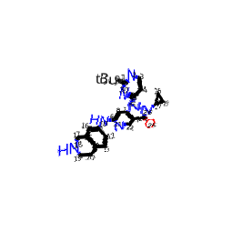 CC(C)(C)c1nccc(-n2c3cc(Nc4ccc5c(c4)CNCC5)ncc3c(=O)n2C2CC2)n1